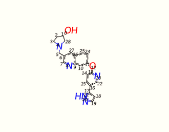 O[C@H]1CCN(Cc2cnc3cc(Oc4ccc(-c5ccn[nH]5)cn4)ccc3c2)C1